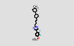 CCCCOc1ccc(-c2cnc(CC/C=C/C3CCC(C4CCC(C)CC4)CC3)nc2)c(F)c1F